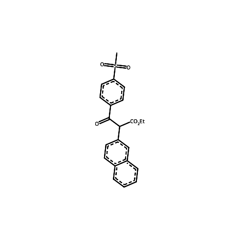 CCOC(=O)C(C(=O)c1ccc(S(C)(=O)=O)cc1)c1ccc2ccccc2c1